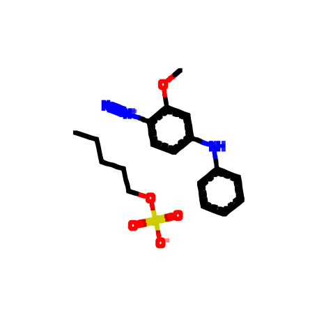 CCCCCOS(=O)(=O)[O-].COc1cc(Nc2ccccc2)ccc1[N+]#N